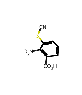 N#CSc1cccc(C(=O)O)c1[N+](=O)[O-]